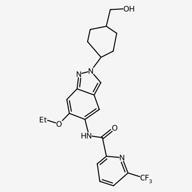 CCOc1cc2nn(C3CCC(CO)CC3)cc2cc1NC(=O)c1cccc(C(F)(F)F)n1